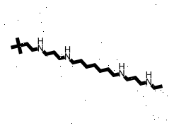 CCNCCCNCCCCCCCNCCCNCCC(C)(C)C